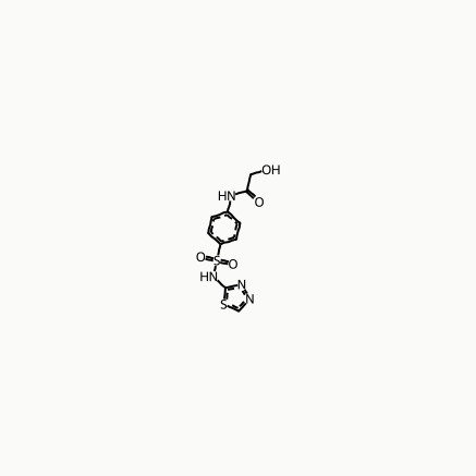 O=C(CO)Nc1ccc(S(=O)(=O)Nc2nncs2)cc1